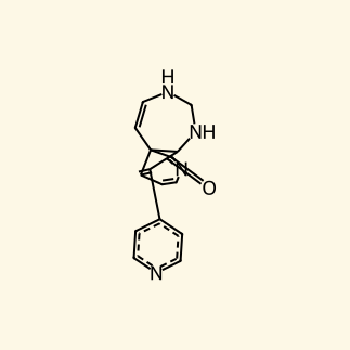 O=C1C(c2ccncc2)=C2C=CN=CC23C=CNCNC13